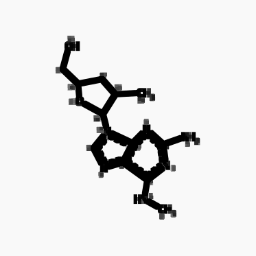 CNc1nc(N)nc2c1ncn2C1OC(CO)CC1C